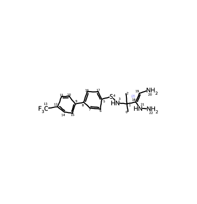 CC(C)(NSc1ccc(-c2ccc(C(F)(F)F)cc2)cc1)/C(=C/N)NN